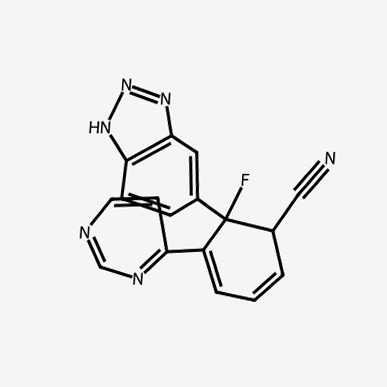 N#CC1C=CC=C(c2ccncn2)C1(F)c1ccc2[nH]nnc2c1